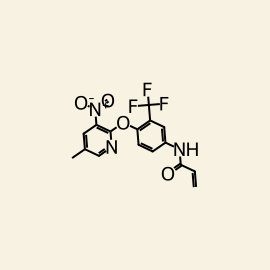 C=CC(=O)Nc1ccc(Oc2ncc(C)cc2[N+](=O)[O-])c(C(F)(F)F)c1